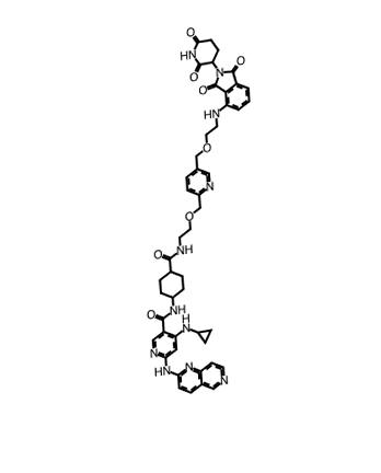 O=C1CCC(N2C(=O)c3cccc(NCCOCc4ccc(COCCNC(=O)C5CCC(NC(=O)c6cnc(Nc7ccc8cnccc8n7)cc6NC6CC6)CC5)nc4)c3C2=O)C(=O)N1